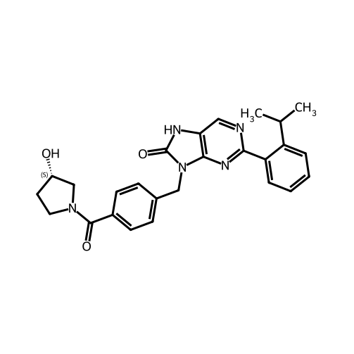 CC(C)c1ccccc1-c1ncc2[nH]c(=O)n(Cc3ccc(C(=O)N4CC[C@H](O)C4)cc3)c2n1